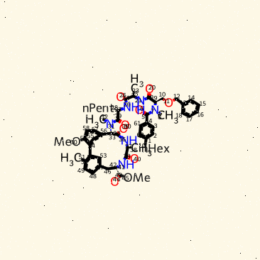 CCCCCCc1ccc(C(=O)N(C)[C@H](COCc2ccccc2)C(=O)N[C@H](C)C(=O)N[C@@H](CCCCC)C(=O)N(C)[C@@H]2C(=O)N[C@@H](C)C(=O)N[C@H](C(=O)OC)Cc3ccc(C)c(c3)-c3cc2ccc3OC)cc1